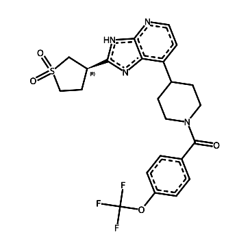 O=C(c1ccc(OC(F)(F)F)cc1)N1CCC(c2ccnc3[nH]c([C@H]4CCS(=O)(=O)C4)nc23)CC1